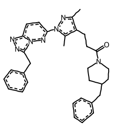 Cc1nn(-c2ccc3nnc(Cc4ccccc4)n3n2)c(C)c1CCC(=O)N1CCC(Cc2ccccc2)CC1